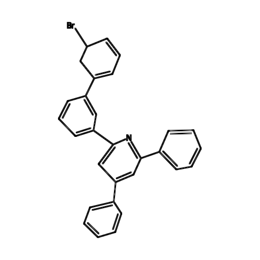 BrC1C=CC=C(c2cccc(-c3cc(-c4ccccc4)cc(-c4ccccc4)n3)c2)C1